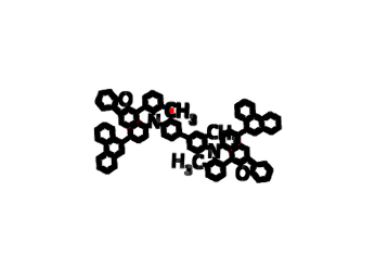 Cc1cc(-c2ccc(N(c3ccc(-c4cc5ccccc5c5ccccc45)cc3)c3c(C)cccc3-c3cccc4c3oc3ccccc34)c(C)c2)ccc1N(c1ccc(-c2cc3ccccc3c3ccccc23)cc1)c1c(C)cccc1-c1cccc2c1oc1ccccc12